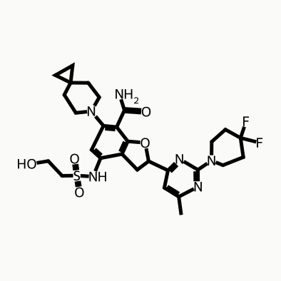 Cc1cc(C2Cc3c(NS(=O)(=O)CCO)cc(N4CCC5(CC4)CC5)c(C(N)=O)c3O2)nc(N2CCC(F)(F)CC2)n1